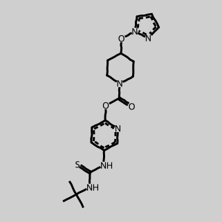 CC(C)(C)NC(=S)Nc1ccc(OC(=O)N2CCC(On3cccn3)CC2)nc1